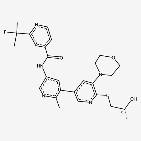 Cc1ncc(NC(=O)c2ccnc(C(C)(C)F)c2)cc1-c1cnc(OC[C@@H](C)O)c(N2CCOCC2)c1